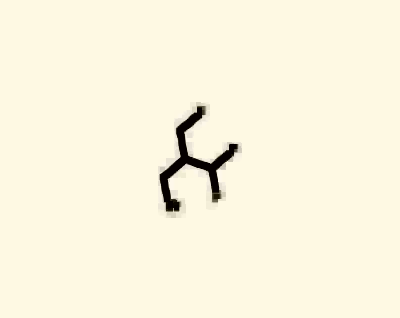 CC(C)CC(CF)C(F)F